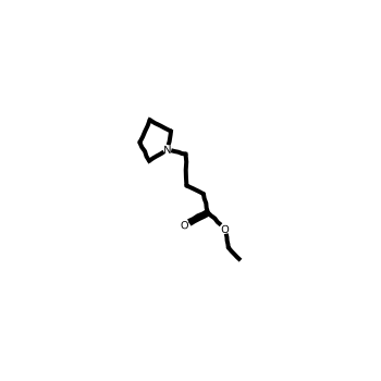 CCOC(=O)CCCN1CCCC1